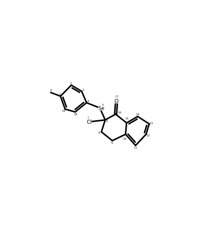 Cc1ccc([Se]C2(Cl)CCc3ccccc3C2=O)cc1